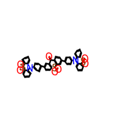 O=C1c2cc(-c3ccc(N4c5ccccc5S(=O)(=O)c5ccccc54)cc3)ccc2S(=O)(=O)c2cc(-c3ccc(N4c5ccccc5S(=O)(=O)c5ccccc54)cc3)ccc21